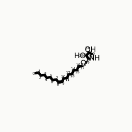 CCCCCCCC/C=C\CCCCCCCCOC[C@H]1NC[C@H](O)[C@@H]1O